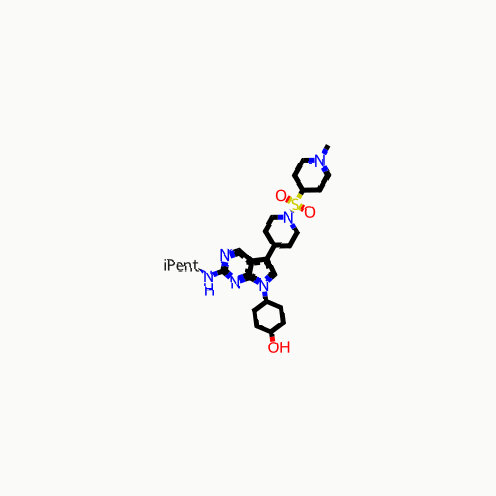 CCC[C@H](C)Nc1ncc2c(C3CCN(S(=O)(=O)C4CCN(C)CC4)CC3)cn(C3CCC(O)CC3)c2n1